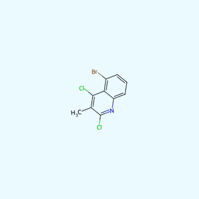 Cc1c(Cl)nc2cccc(Br)c2c1Cl